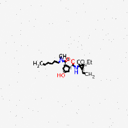 C=CCCCCN(C)C(=O)[C@@H]1C[C@@H](O)C[C@H]1C(=O)N[C@]1(C(=O)OCC)C[C@H]1C=C